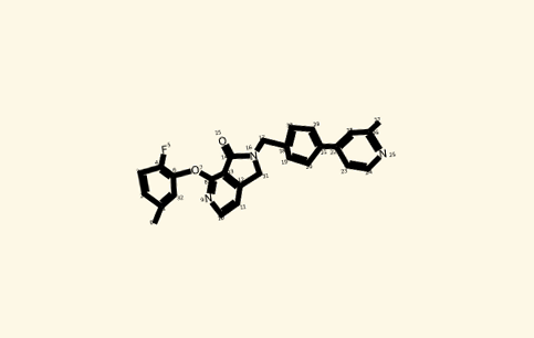 Cc1ccc(F)c(Oc2nccc3c2C(=O)N(Cc2ccc(-c4ccnc(C)c4)cc2)C3)c1